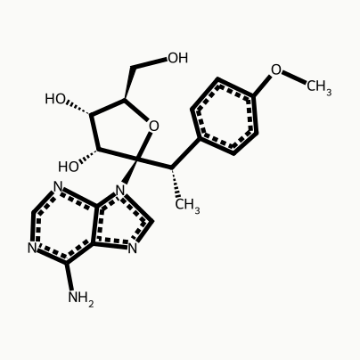 COc1ccc([C@H](C)[C@@]2(n3cnc4c(N)ncnc43)O[C@H](CO)[C@@H](O)[C@H]2O)cc1